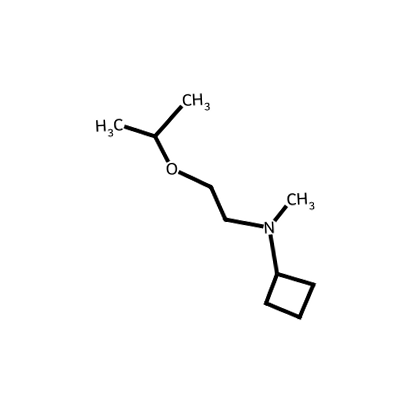 CC(C)OCCN(C)C1CCC1